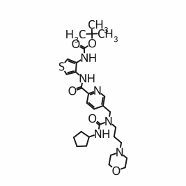 CC(C)(C)OC(=O)Nc1cscc1NC(=O)c1ccc(CN(CCCN2CCOCC2)C(=O)NC2CCCC2)cn1